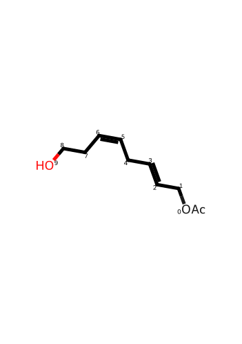 CC(=O)OC/C=C/C/C=C\CCO